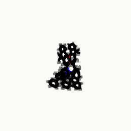 CC1(C)c2ccccc2-c2ccc(-c3ccc4c(c3N(c3ccc(-c5ccccc5)cc3)c3ccc5c(c3)C(C)(C)c3ccccc3-5)C3(c5ccccc5-c5ccccc53)c3ccccc3-4)cc21